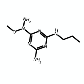 CCCNc1nc(N)nc(N(N)OC)n1